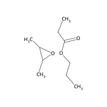 CC1OC1C.CCCOC(=O)CC